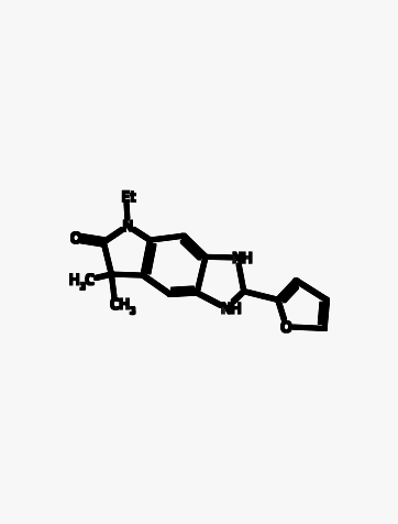 CCN1C(=O)C(C)(C)c2cc3c(cc21)NC(c1ccco1)N3